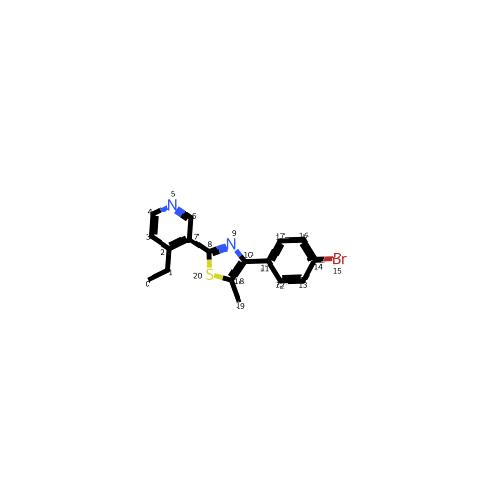 CCc1ccncc1-c1nc(-c2ccc(Br)cc2)c(C)s1